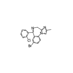 Cc1cn2c(n1)CN=C(c1ccccc1Cl)c1cc(Br)ccc1-2